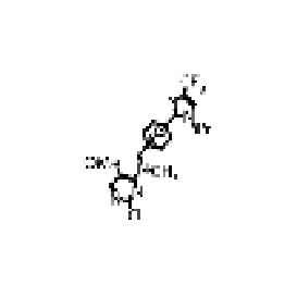 COc1cnc(Cl)nc1N(C)CC12CCC(c3nc(C(F)(F)F)cn3C(C)C)(CC1)OC2